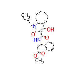 CCCCn1c2c(c(O)c(C(=O)NC(CC(=O)OC)c3ccccc3)c1=O)CCCCCC2